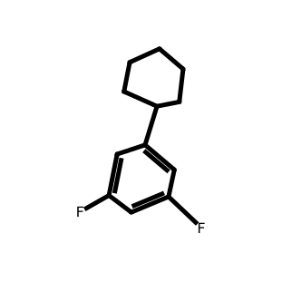 Fc1cc(F)cc(C2CCCCC2)c1